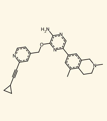 Cc1cc(-c2cnc(N)c(OCc3ccnc(C#CC4CC4)c3)n2)cc2c1CCN(C)C2